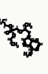 CCOP(=O)(COC(C)Cn1cnc2c(N)ncnc21)OCC